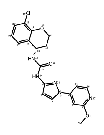 COc1cc(-n2ccc(NC(=O)N[C@H]3CCOc4c(Cl)cccc43)n2)ccn1